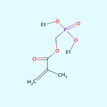 C=C(C)C(=O)OCP(=O)(OCC)OCC